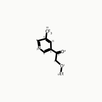 CCOCC(=O)c1cncc(C(F)(F)F)c1